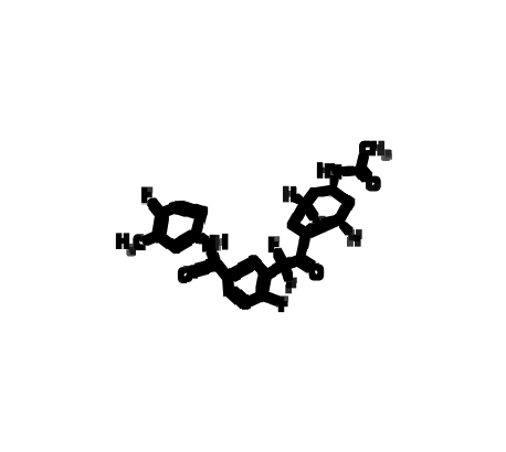 CC(=O)N[C@@H]1C[C@H]2CC3(C(=O)C(F)(F)c4cc(C(=O)Nc5ccc(F)c(C)c5)ccc4F)[C@@H](C1)N23